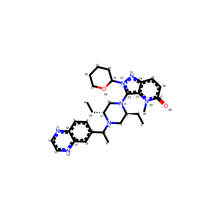 CC[C@H]1CN(C(C)c2ccc3nccnc3c2)[C@H](CC)CN1c1c2c(ccc(=O)n2C)nn1C1CCCCO1